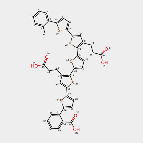 Cc1ccccc1-c1ccc(-c2cc(CCC(=O)O)c(-c3ccc(-c4sc(-c5ccc(-c6ccccc6C(=O)O)s5)cc4CCC(=O)O)s3)s2)s1